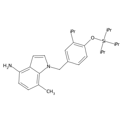 Cc1ccc(N)c2ccn(Cc3ccc(O[Si](C(C)C)(C(C)C)C(C)C)c(C(C)C)c3)c12